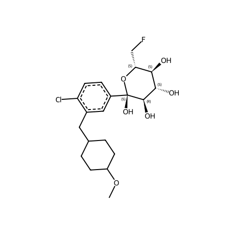 COC1CCC(Cc2cc([C@]3(O)O[C@H](CF)[C@@H](O)[C@H](O)[C@H]3O)ccc2Cl)CC1